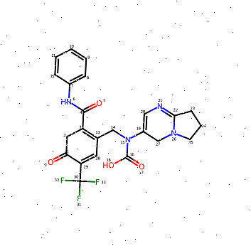 O=C1CC(C(=O)Nc2ccccc2)=C(CN(C(=O)O)C2=CN=C3CCCN3C2)C=C1C(F)(F)F